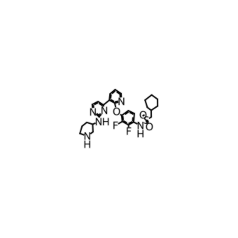 O=S(=O)(CC1CCCCC1)Nc1ccc(Oc2ncccc2-c2ccnc(NC3CCCNC3)n2)c(F)c1F